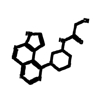 N#CCC(=O)NC1CCCN(c2ncnc3cnc4[nH]ccc4c23)C1